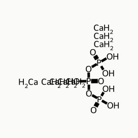 O=P(O)(O)OP(=O)(O)OP(=O)(O)O.[CaH2].[CaH2].[CaH2].[CaH2].[CaH2].[CaH2].[CaH2].[CaH2]